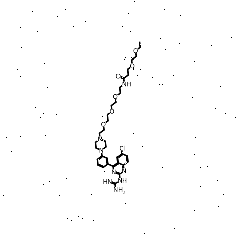 CCOCCOCCC(=O)NCCOCCOCCOCCN1CCN(c2cccc(-c3nc(NC(=N)N)nc4ccc(Cl)cc34)c2)CC1